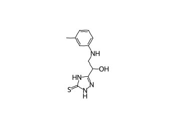 Cc1cccc(NCC(O)c2n[nH]c(=S)[nH]2)c1